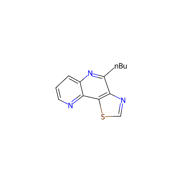 CCCCc1nc2cccnc2c2scnc12